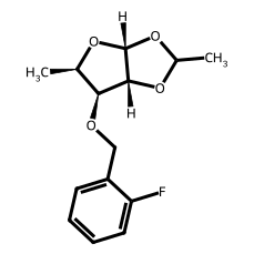 CC1O[C@H]2O[C@H](C)[C@H](OCc3ccccc3F)[C@H]2O1